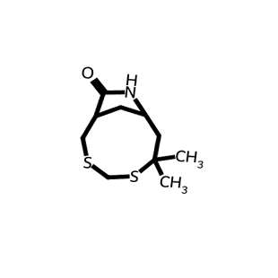 CC1(C)CC2CC(CSCS1)C(=O)N2